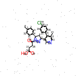 Cc1ccc([C@H]2CC(c3cncc(C)c3-c3ccc(Cl)cc3)=NN2C(=O)CCC(=O)O)cc1